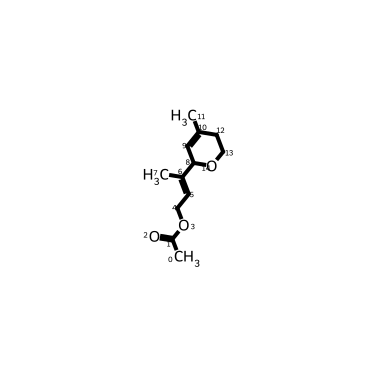 CC(=O)OCC=C(C)C1C=C(C)CCO1